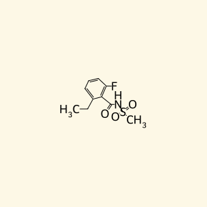 CCc1cccc(F)c1C(=O)NS(C)(=O)=O